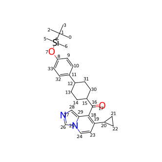 CC(C)(C)[Si](C)(C)Oc1ccc(C2CCC(C(=O)c3c(C4CC4)ccn4cncc34)CC2)cc1